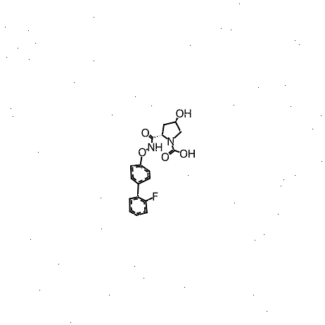 O=C(NOc1ccc(-c2ccccc2F)cc1)[C@@H]1C[C@@H](O)CN1C(=O)O